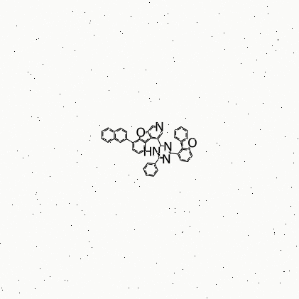 c1ccc(C2=NC(c3cccc4oc5ccccc5c34)=NC(c3cncc4oc5c(-c6ccc7ccccc7c6)cccc5c34)N2)cc1